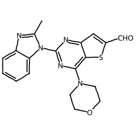 Cc1nc2ccccc2n1-c1nc(N2CCOCC2)c2sc(C=O)cc2n1